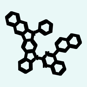 c1ccc(-n2c3cc4ccccc4cc3c3cc4c5ccccc5n(-c5nc(-c6ccc7ccccc7c6)c6ccccc6n5)c4cc32)cc1